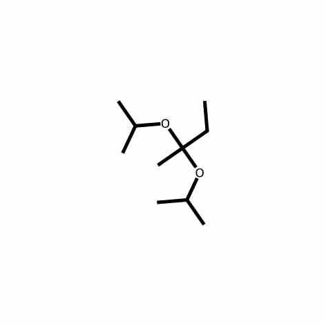 CCC(C)(OC(C)C)OC(C)C